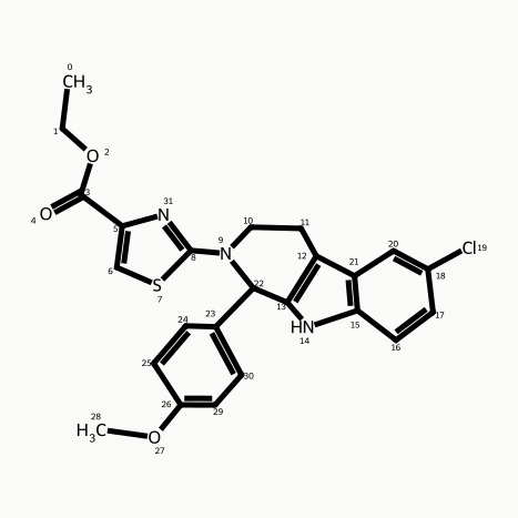 CCOC(=O)c1csc(N2CCc3c([nH]c4ccc(Cl)cc34)C2c2ccc(OC)cc2)n1